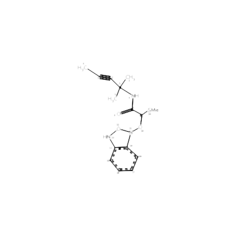 CC#CC(C)(C)NC(=O)C(ON1ONc2ccccc21)SC